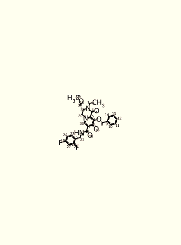 CCN1C(=O)c2c(OCc3ccccc3)c(=O)c(C(=O)NCc3ccc(F)cc3F)cn2C[C@@H]1COC